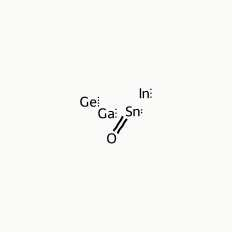 [Ga].[Ge].[In].[O]=[Sn]